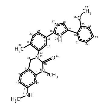 CNc1ncc2c(n1)N(C)C(=O)N(c1cc(-c3ncc(-c4ccccc4OC)[nH]3)ccc1C)C2